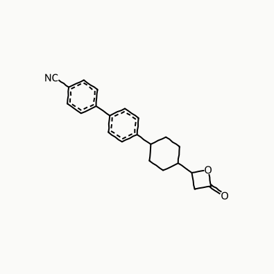 N#Cc1ccc(-c2ccc(C3CCC(C4CC(=O)O4)CC3)cc2)cc1